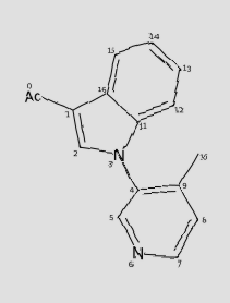 CC(=O)c1cn(-c2cnccc2C)c2ccccc12